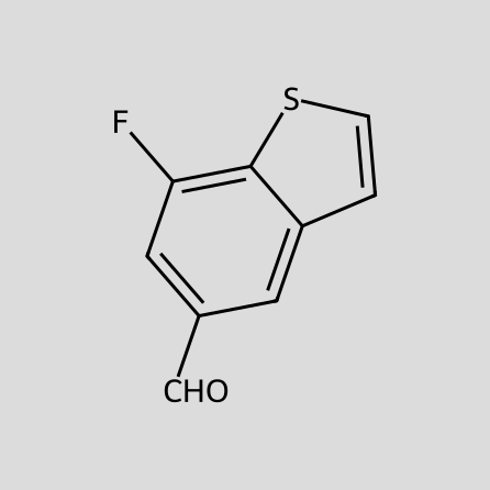 O=Cc1cc(F)c2sccc2c1